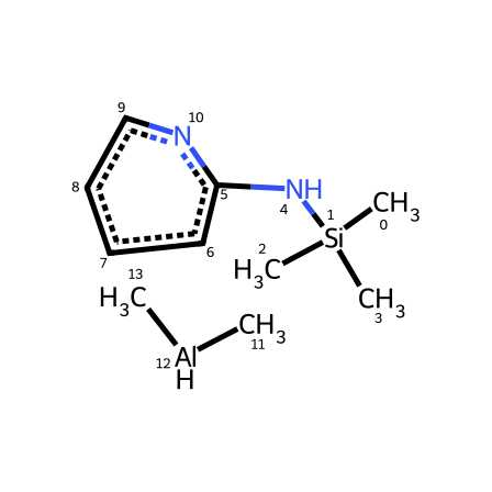 C[Si](C)(C)Nc1ccccn1.[CH3][AlH][CH3]